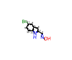 O/N=C/c1cc2cc(Br)ccc2[nH]1